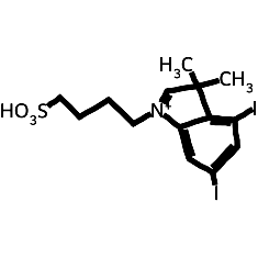 CC1(C)C=[N+](CCCCS(=O)(=O)O)c2cc(I)cc(I)c21